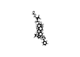 C=C(C)[C@@H]1CC[C@]2(c3nnc(-c4ccccc4)o3)CC[C@]3(C)[C@H](CC[C@@H]4[C@@]5(C)CC[C@H](OC(=O)[C@H]6[C@@H](COC=O)C6(C)C)C(C)(C)[C@@H]5CC[C@]43C)[C@@H]12